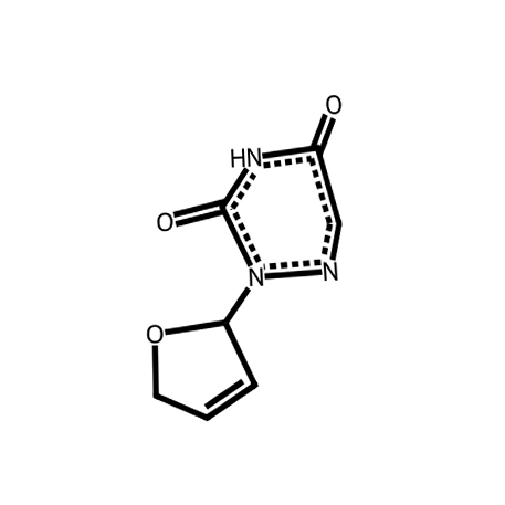 O=c1cnn(C2C=CCO2)c(=O)[nH]1